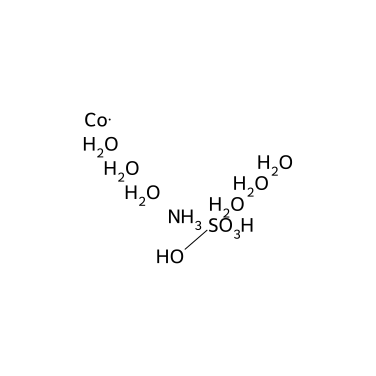 N.O.O.O.O.O.O.O=S(=O)(O)O.[Co]